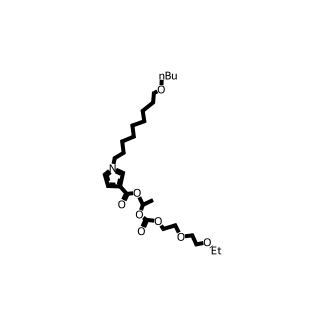 CCCCOCCCCCCCCCn1ccc(C(=O)OC(C)OC(=O)OCCOCCOCC)c1